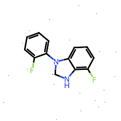 Fc1ccccc1N1[CH]Nc2c(F)cccc21